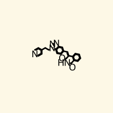 O=C1NC(=O)c2ccccc2C1=Cc1ccc2c(c1)nnn2CCc1ccncc1